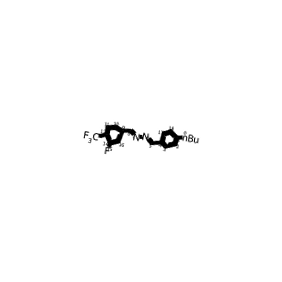 CCCCc1ccc(C=NN=Cc2ccc(C(F)(F)F)c(F)c2)cc1